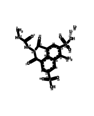 NNC(=O)NN1C(=O)c2cc(S(=O)(=O)O)cc3c(N)c(S(=O)(=O)O)cc(c23)C1=O.[Li].[Li]